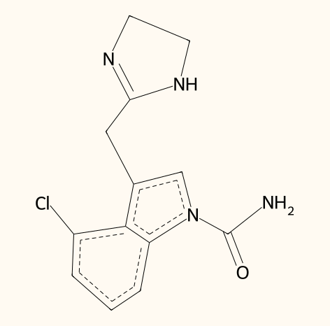 NC(=O)n1cc(CC2=NCCN2)c2c(Cl)cccc21